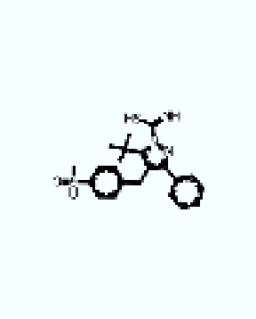 CC(C)(C)c1c(Cc2ccc([SH](C)(C)=O)cc2)c(-c2ccccc2)nn1C(=N)S